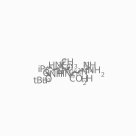 Cc1[nH]c([C@H](CC(C)C)NC(=O)OC(C)(C)C)nc1C(=O)N[C@@H](CCCNC(=N)N)C(=O)O